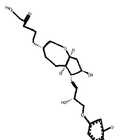 O=C(O)CCC[C@H]1CC[C@@H]2[C@@H](C=C[C@@H](O)COc3ccc(F)c(Cl)c3)[C@H](O)C[C@@H]2OC1